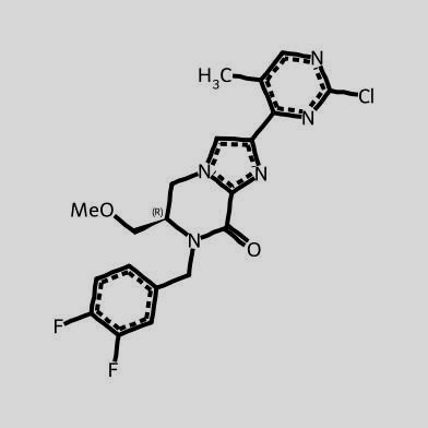 COC[C@H]1Cn2cc(-c3nc(Cl)ncc3C)nc2C(=O)N1Cc1ccc(F)c(F)c1